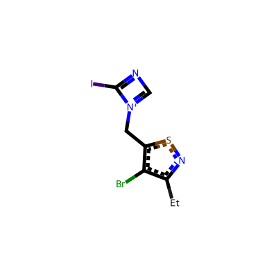 CCc1nsc(C[N+]2=CN=C2I)c1Br